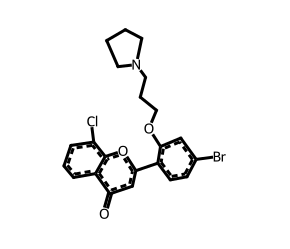 O=c1cc(-c2ccc(Br)cc2OCCCN2CCCC2)oc2c(Cl)cccc12